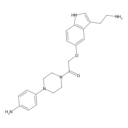 NCCc1c[nH]c2ccc(OCC(=O)N3CCN(c4ccc(N)cc4)CC3)cc12